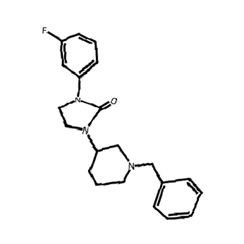 O=C1N(c2cccc(F)c2)CCN1C1CCCN(Cc2ccccc2)C1